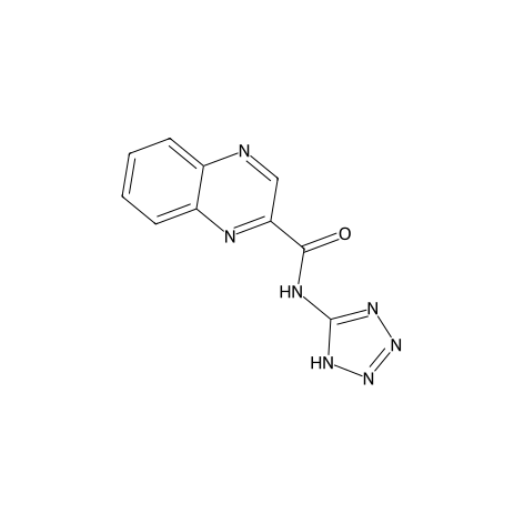 O=C(Nc1nnn[nH]1)c1cnc2ccccc2n1